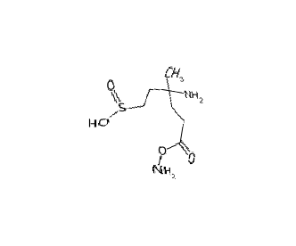 CC(N)(CCC(=O)ON)CCS(=O)O